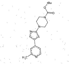 Cc1cc(-c2cnc(N3CCN(C(=O)OC(C)(C)C)CC3)s2)ccn1